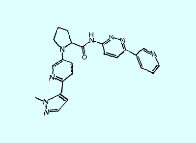 Cn1nccc1-c1ccc(N2CCCC2C(=O)Nc2ccc(-c3cccnc3)nn2)cn1